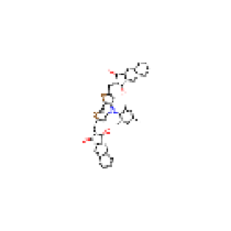 Cc1cc(C)c(-n2c3cc(C=C4C(=O)c5cc6ccccc6cc5C4=O)sc3c3sc(C=C4C(=O)c5cc6ccccc6cc5C4=O)cc32)c(C)c1